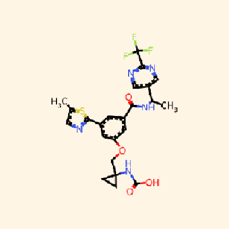 Cc1cnc(-c2cc(OCC3(NC(=O)O)CC3)cc(C(=O)NC(C)c3cnc(C(F)(F)F)nc3)c2)s1